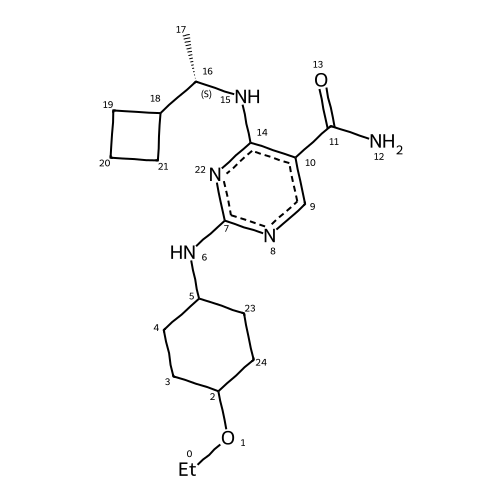 CCOC1CCC(Nc2ncc(C(N)=O)c(N[C@@H](C)C3CCC3)n2)CC1